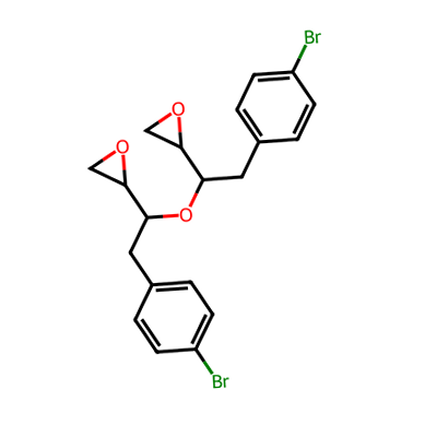 Brc1ccc(CC(OC(Cc2ccc(Br)cc2)C2CO2)C2CO2)cc1